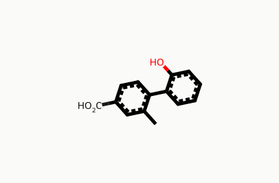 Cc1cc(C(=O)O)ccc1-c1ccccc1O